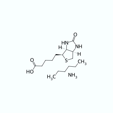 CCCCCC.N.O=C(O)CCCC[C@@H]1SC[C@@H]2NC(=O)N[C@@H]21